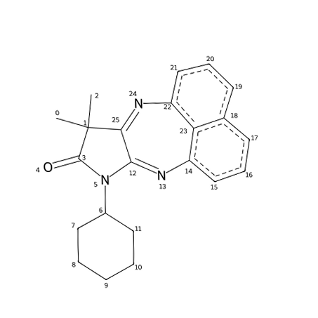 CC1(C)C(=O)N(C2CCCCC2)C2=Nc3cccc4cccc(c34)N=C21